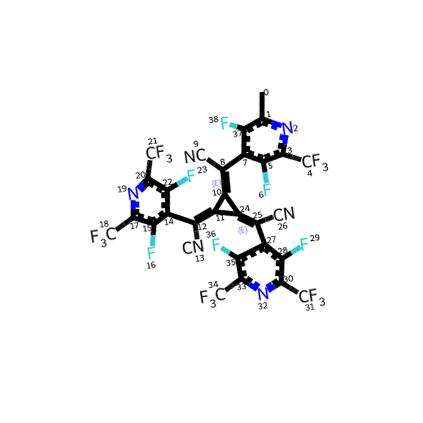 Cc1nc(C(F)(F)F)c(F)c(/C(C#N)=C2/C(=C(C#N)c3c(F)c(C(F)(F)F)nc(C(F)(F)F)c3F)/C2=C(/C#N)c2c(F)c(C(F)(F)F)nc(C(F)(F)F)c2F)c1F